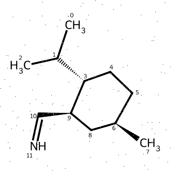 CC(C)[C@@H]1CC[C@@H](C)C[C@H]1C=N